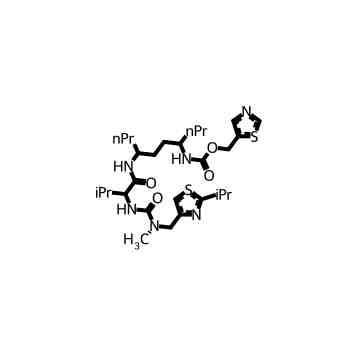 CCCC(CCC(CCC)NC(=O)C(NC(=O)N(C)Cc1csc(C(C)C)n1)C(C)C)NC(=O)OCc1cncs1